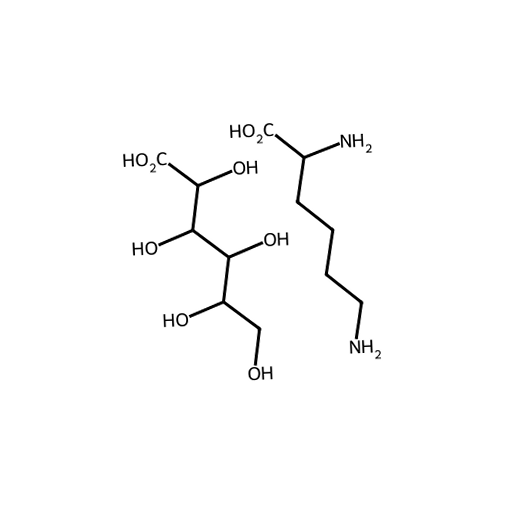 NCCCCC(N)C(=O)O.O=C(O)C(O)C(O)C(O)C(O)CO